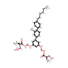 C=C(CO)C(=O)OCOc1cc(OCOC(=O)C(=C)CO)cc(-c2ccc(-c3ccc(CCCCCC(F)(F)F)cc3)c(CC)c2)c1